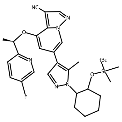 Cc1c(-c2cc(O[C@H](C)c3ccc(F)cn3)c3c(C#N)cnn3c2)cnn1C1CCCCC1O[Si](C)(C)C(C)(C)C